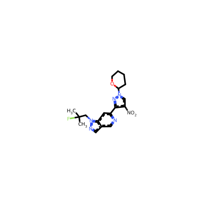 CC(C)(F)Cn1ncc2cnc(-c3nn(C4CCCCO4)cc3[N+](=O)[O-])cc21